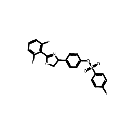 O=S(=O)(Oc1ccc(C2COC(c3c(F)cccc3F)=N2)cc1)c1ccc(I)cc1